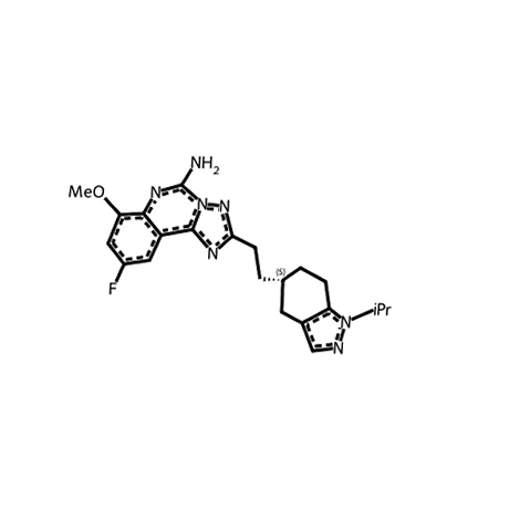 COc1cc(F)cc2c1nc(N)n1nc(CC[C@@H]3CCc4c(cnn4C(C)C)C3)nc21